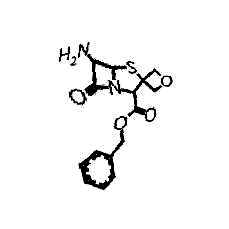 NC1C(=O)N2C1SC1(COC1)C2C(=O)OCc1ccccc1